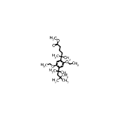 CCOc1cc(C(C)(C)CC(C)(C)C)c(OCC)cc1C(C)(C)CCCC(=O)OC